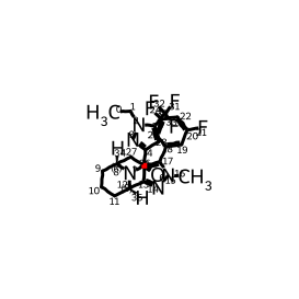 CCn1nc(C(=O)N2[C@@H]3CCC[C@H]2c2nn(C)c(-c4cc(F)cc(F)c4)c2C3)cc1C(F)(F)F